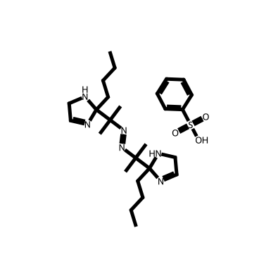 CCCCC1(C(C)(C)N=NC(C)(C)C2(CCCC)N=CCN2)N=CCN1.O=S(=O)(O)c1ccccc1